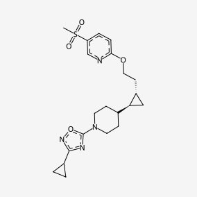 CS(=O)(=O)c1ccc(OCC[C@@H]2C[C@H]2C2CCN(c3nc(C4CC4)no3)CC2)nc1